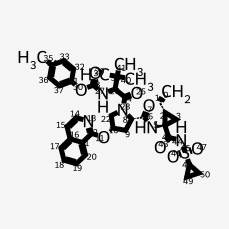 C=C[C@@H]1C[C@]1(NC(=O)[C@@H]1C[C@@H](Oc2nccc3ccccc23)CN1C(=O)C(NC(=O)Oc1ccc(C)cc1)C(C)(C)C)C(=O)NS(=O)(=O)C1CC1